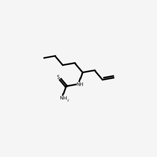 C=CCC(CCCC)NC(N)=S